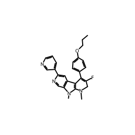 CCCOc1ccc(C2=C(F)CN(C)c3c2c2cc(-c4cccnc4)ncc2n3C)cc1